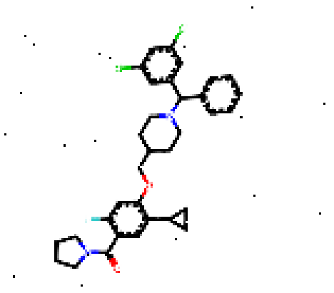 O=C(c1cc(C2CC2)c(OCC2CCN(C(c3ccccc3)c3cc(Cl)cc(Cl)c3)CC2)cc1F)N1CCCC1